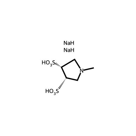 CN1C[C@@H](S(=O)(=O)O)[C@@H](S(=O)(=O)O)C1.[NaH].[NaH]